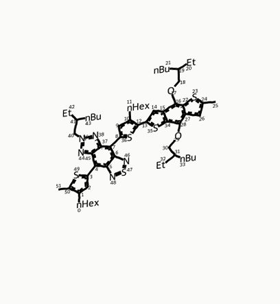 CCCCCCc1cc(-c2c3c(c(-c4cc(CCCCCC)c(-c5cc6c(OCC(CC)CCCC)c7sc(C)cc7c(OCC(CC)CCCC)c6s5)s4)c4nn(CC(CC)CCCC)nc24)N=S=N3)sc1C